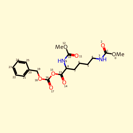 COC(=O)NCCCCC(NC(=O)OC)C(=O)OC(=O)OCc1ccccc1